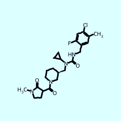 Cc1cc(CNC(=O)N(C[C@@H]2CCCN(C(=O)C3CCN(C)C3=O)C2)C2CC2)c(F)cc1Cl